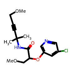 COCC#CC(C)(C)NC(=O)C(COC)Oc1cncc(Cl)c1